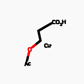 CC(=O)OCCC(=O)O.[Cu]